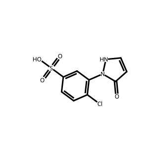 O=c1cc[nH]n1-c1cc(S(=O)(=O)O)ccc1Cl